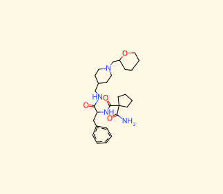 NC(=O)C1(C(=O)NC(Cc2ccccc2)C(=O)NCC2CCN(CC3CCCCO3)CC2)CCCC1